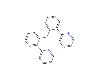 c1ccc(-c2ccccc2Cc2ccccc2-c2ccccn2)nc1